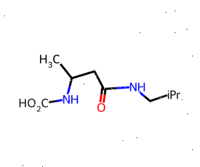 CC(C)CNC(=O)CC(C)NC(=O)O